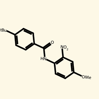 COc1ccc(NC(=O)c2ccc(C(C)(C)C)cc2)c([N+](=O)[O-])c1